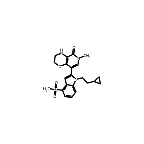 Cn1cc(-c2cc3c(S(C)(=O)=O)cccc3n2CCC2CC2)c2c(c1=O)NCCO2